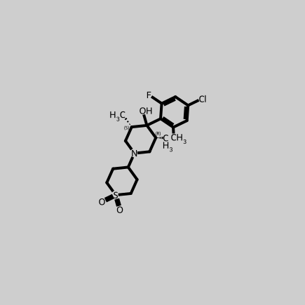 Cc1cc(Cl)cc(F)c1C1(O)[C@H](C)CN(C2CCS(=O)(=O)CC2)C[C@@H]1C